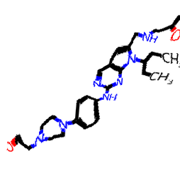 CCC(CC)n1c(CNCc2ccco2)cc2cnc(Nc3ccc(N4CCN(CC=O)CC4)cc3)nc21